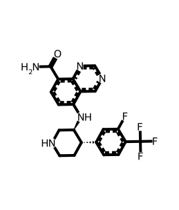 NC(=O)c1ccc(N[C@@H]2CNCC[C@H]2c2ccc(C(F)(F)F)c(F)c2)c2cncnc12